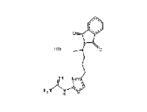 Br.CC(CCCc1csc(NC(=N)N)n1)N1C(=O)c2ccccc2C1=O